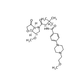 COCCN1CCN(c2ccc(C(=O)N[C@H](C(=O)N3C[C@H](OC)[C@H]4OCC(=O)[C@H]43)C(C)(C)C)cc2)CC1